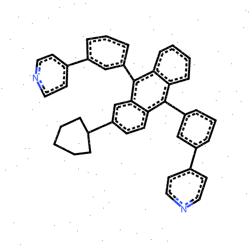 c1cc(-c2ccncc2)cc(-c2c3ccccc3c(-c3cccc(-c4ccncc4)c3)c3cc(C4CCCCC4)ccc23)c1